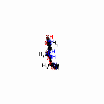 Cc1cc2c(cc1OCCCC(=O)Nc1cn(C)c(C(=O)Nc3ccc(-c4cc(C(=O)NCCCO)n(C)c4)cc3)n1)N=C[C@@H]1CCCN1C2=O